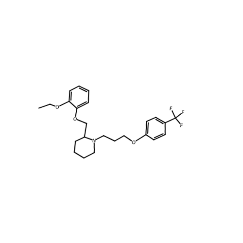 CCOc1ccccc1OCC1CCCCN1CCCOc1ccc(C(F)(F)F)cc1